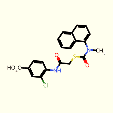 CN(C(=O)SCC(=O)Nc1ccc(C(=O)O)cc1Cl)c1cccc2ccccc12